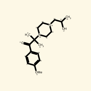 COc1ccc(C(=O)C(C)(C)N2CCN(CC(C)O)CC2)cc1